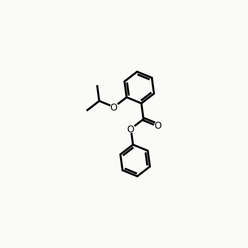 CC(C)Oc1ccccc1C(=O)Oc1ccccc1